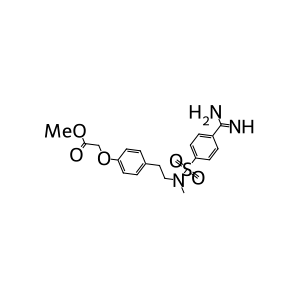 COC(=O)COc1ccc(CCN(C)S(=O)(=O)c2ccc(C(=N)N)cc2)cc1